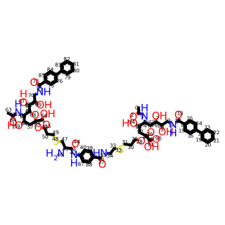 CC(=O)N[C@H]1[C@H]([C@H](O)[C@H](O)CNC(=O)c2ccc(-c3ccccc3)cc2)O[C@@](OCCCSCCNC(=O)c2ccc(NC(=O)C(N)CSCCCO[C@]3(C(=O)O)C[C@H](O)[C@@H](NC(C)=O)[C@H]([C@H](O)[C@H](O)CNC(=O)c4ccc(-c5ccccc5)cc4)O3)cc2)(C(=O)O)C[C@@H]1O